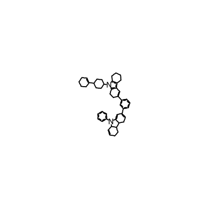 C1=CC2C(CC1)C1CC=C(c3cccc(C4=Cc5c6c(n(C7CCC(C8=CCCCC8)CC7)c5CC4)CCCC6)c3)C=C1N2c1ccccc1